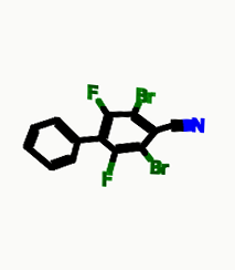 N#Cc1c(Br)c(F)c(-c2ccccc2)c(F)c1Br